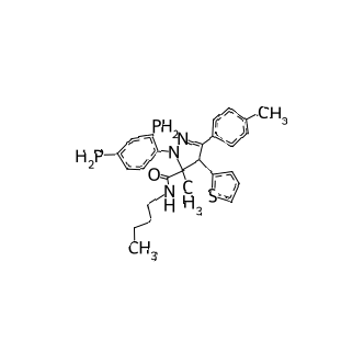 CCCCNC(=O)C1(C)C(c2cccs2)C(c2ccc(C)cc2)=NN1c1ccc(P)cc1P